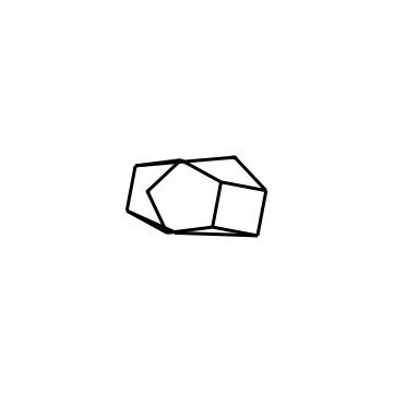 C1C2C3CC4C5CC3C1C5C24